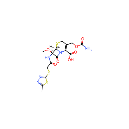 CO[C@@]1(NC(=O)CSc2nnc(C)s2)C(=O)N2C(C(=O)O)=C(COC(N)=O)CS[C@@H]21